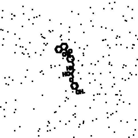 O=S(=O)(c1cccc2ccccc12)N1CCC(CNC[C@H](O)COc2ccc(O)cc2)CC1